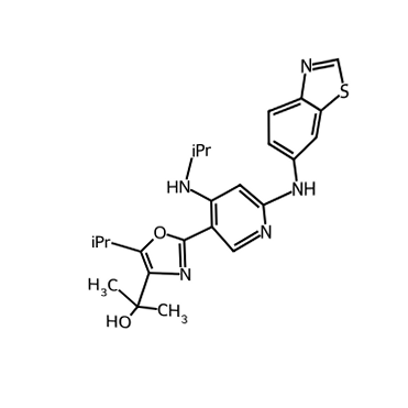 CC(C)Nc1cc(Nc2ccc3ncsc3c2)ncc1-c1nc(C(C)(C)O)c(C(C)C)o1